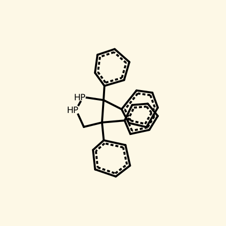 c1ccc(C2(c3ccccc3)CPPC2(c2ccccc2)c2ccccc2)cc1